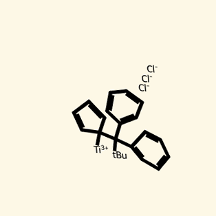 CC(C)(C)C(c1ccccc1)(c1ccccc1)[C]1([Ti+3])C=CC=C1.[Cl-].[Cl-].[Cl-]